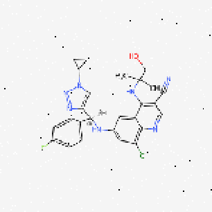 [2H][C@](Nc1cc(Cl)c2ncc(C#N)c(NC(C)(C)CO)c2c1)(c1ccc(F)cc1)c1cn(C2CC2)nn1